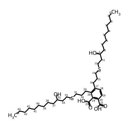 CCCCCCCCCC(O)CCSCCCc1ccc(C(=O)O)c(C(=O)O)c1CCCSCCC(O)CCCCCCCCC